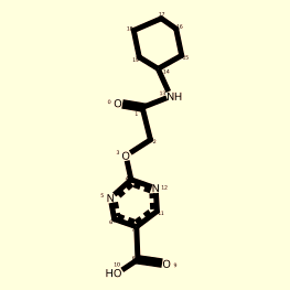 O=C(COc1ncc(C(=O)O)cn1)NC1CCCCC1